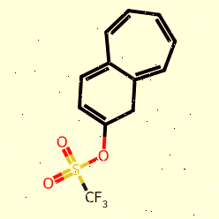 O=S(=O)(OC1=CC=C2C=CC=CC=C2C1)C(F)(F)F